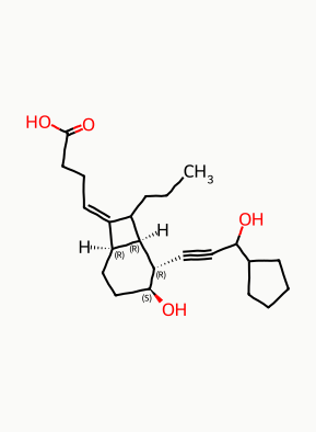 CCCC1C(=CCCC(=O)O)[C@@H]2CC[C@H](O)[C@@H](C#CC(O)C3CCCC3)[C@H]12